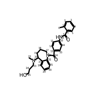 Cc1ccccc1C(=O)Nc1ccc(C(=O)N2CCCC(N(C)CCCO)c3ccccc32)cc1